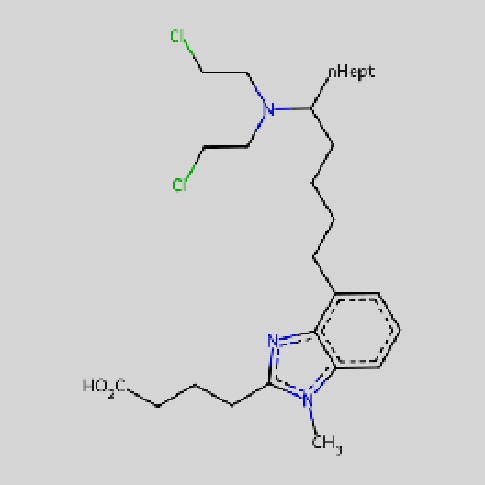 CCCCCCCC(CCCCc1cccc2c1nc(CCCC(=O)O)n2C)N(CCCl)CCCl